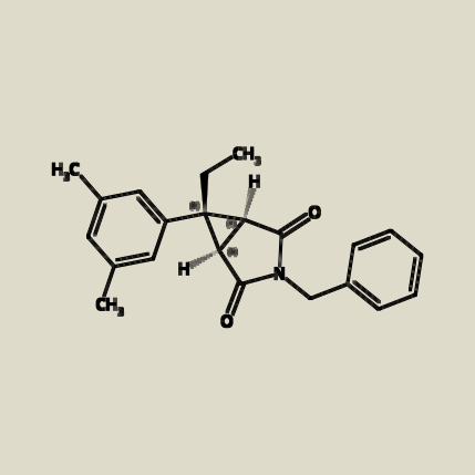 CC[C@]1(c2cc(C)cc(C)c2)[C@@H]2C(=O)N(Cc3ccccc3)C(=O)[C@@H]21